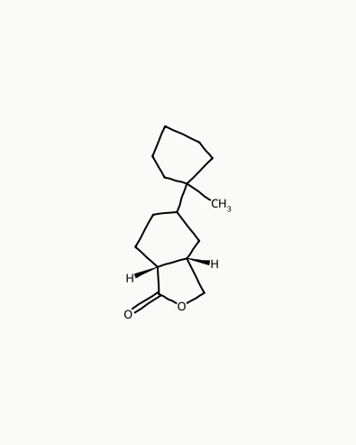 CC1(C2CC[C@H]3C(=O)OC[C@H]3C2)CCCCC1